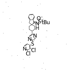 CC(C)(C)[S+]([O-])N[C@H]1c2ccccc2CC12CCC(c1cnc(Sc3ccnc(Cl)c3Cl)cn1)CC2